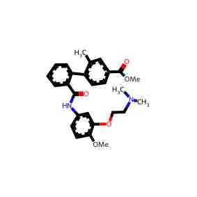 COC(=O)c1ccc(-c2ccccc2C(=O)Nc2ccc(OC)c(OCCN(C)C)c2)c(C)c1